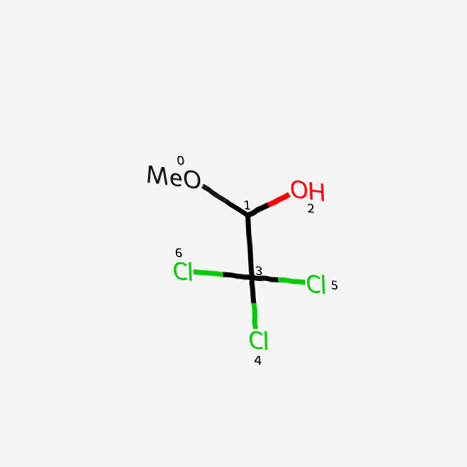 COC(O)C(Cl)(Cl)Cl